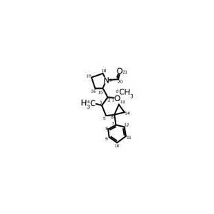 COC(C(C)CC1(c2ccccc2)CC1)C1CCCN1C=O